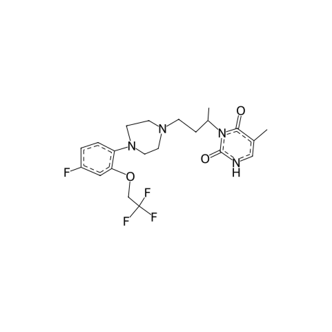 Cc1c[nH]c(=O)n(C(C)CCN2CCN(c3ccc(F)cc3OCC(F)(F)F)CC2)c1=O